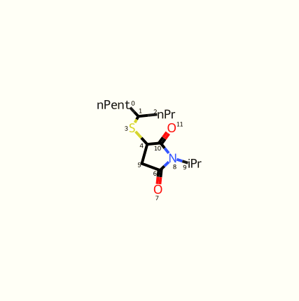 CCCCCC(CCC)SC1CC(=O)N(C(C)C)C1=O